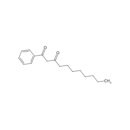 CCCCCCCCC(=O)CC(=O)c1ccccc1